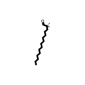 CCCCCCCCCCCCC[C@@H](C)C=O